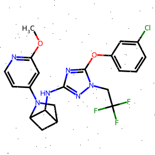 COc1cc(N2CC3CC2C3Nc2nc(Oc3cccc(Cl)c3)n(CC(F)(F)F)n2)ccn1